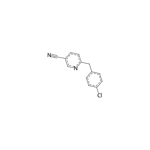 N#Cc1ccc(Cc2ccc(Cl)cc2)nc1